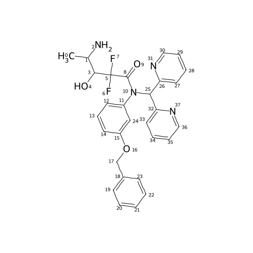 CC(N)C(O)C(F)(F)C(=O)N(c1cccc(OCc2ccccc2)c1)C(c1ccccn1)c1ccccn1